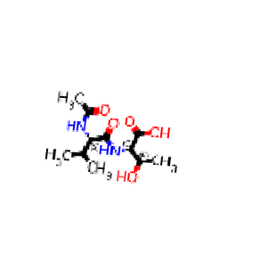 CC(=O)N[C@H](C(=O)N[C@H](C(=O)O)[C@@H](C)O)C(C)C